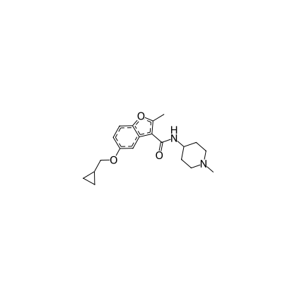 Cc1oc2ccc(OCC3CC3)cc2c1C(=O)NC1CCN(C)CC1